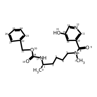 C[C@H](CCCCN(C)C(=O)c1cncc(O)c1)NC(=O)OCc1ccccc1